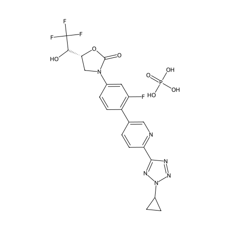 O=C1O[C@@H](C(O)C(F)(F)F)CN1c1ccc(-c2ccc(-c3nnn(C4CC4)n3)nc2)c(F)c1.O=P(O)(O)O